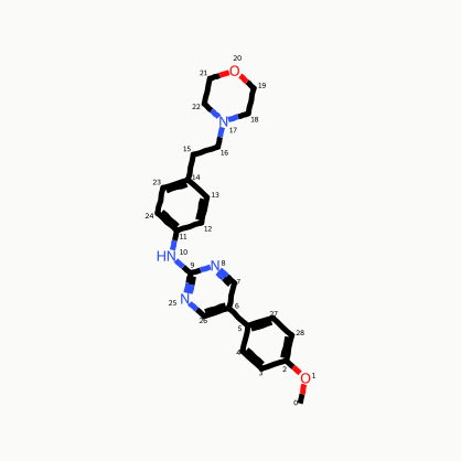 COc1ccc(-c2cnc(Nc3ccc(CCN4CCOCC4)cc3)nc2)cc1